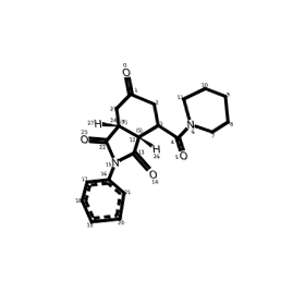 O=C1CC(C(=O)N2CCCCC2)[C@@H]2C(=O)N(c3ccccc3)C(=O)[C@@H]2C1